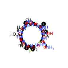 CCCC[C@H]1C(=O)N2CCC[C@@H]2C(=O)N[C@@H](CC(=O)O)C(=O)N[C@@H](C(C)C)C(=O)N(C)[C@@H](Cc2ccc(C)cc2)C(=O)N[C@@H](CCN)C(=O)N2CCC[C@@H]2C(=O)N[C@@H](Cc2c[nH]c3ccccc23)C(=O)N[C@@H](Cc2ccc(O)cc2)C(=O)N[C@@H](CC(C)C)C(=O)N[C@H](COCNCC(N)=O)CSCC(=O)N[C@@H](Cc2ccc(F)cc2)C(=O)N(C)C(Cc2ccccc2)C(=O)N1C